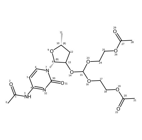 CC(=O)Nc1ccn([C@@H]2O[C@H](C)CC2OC(OCCOC(C)=O)OCCOC(C)=O)c(=O)n1